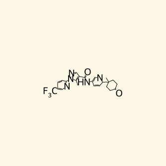 Cc1c(C(=O)Nc2ccc(C3(C)CCC(=O)CC3)nc2)cnn1-c1ccc(C(F)(F)F)cn1